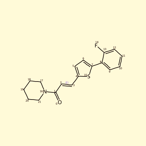 O=C(/C=C/c1ccc(-c2ccccc2F)s1)N1CCCCC1